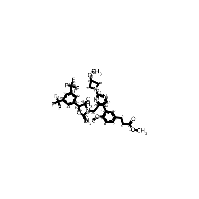 COC(=O)CCc1ccc(OC)c(-c2cnc(N3CC(OC)C3)nc2CN2C(=O)OC(c3cc(C(F)(F)F)cc(C(F)(F)F)c3)C2C)c1